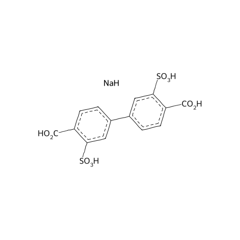 O=C(O)c1ccc(-c2ccc(C(=O)O)c(S(=O)(=O)O)c2)cc1S(=O)(=O)O.[NaH]